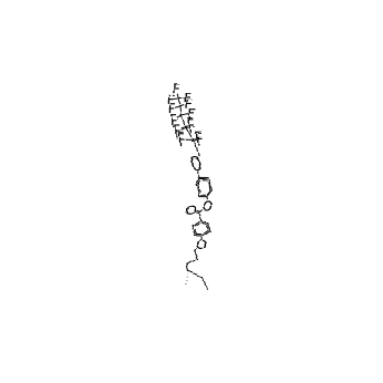 CC[C@H](C)CCCOc1ccc(C(=O)Oc2ccc(OCC(F)(F)C(F)(F)C(F)(F)C(F)(F)C(F)(F)F)cc2)cc1